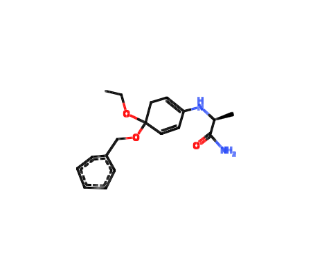 CCOC1(OCc2ccccc2)C=CC(N[C@@H](C)C(N)=O)=CC1